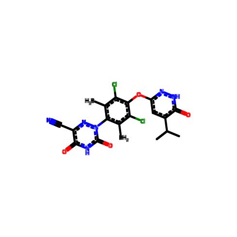 Bc1c(Cl)c(Oc2cc(C(C)C)c(=O)[nH]n2)c(Cl)c(B)c1-n1nc(C#N)c(=O)[nH]c1=O